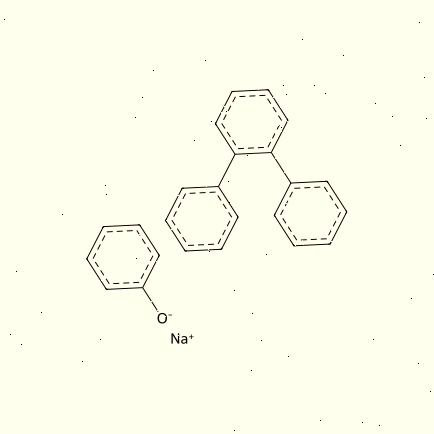 [Na+].[O-]c1ccccc1.c1ccc(-c2ccccc2-c2ccccc2)cc1